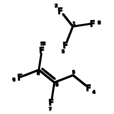 FC(F)F.FCC(F)=C(F)F